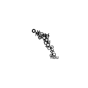 C=C(C)[C@@H]1CC[C@]2(C(=O)N3CCC[C@@H]3c3nc(-c4ccccc4)no3)CC[C@]3(C)[C@H](CC[C@@H]4[C@@]5(C)CC[C@H](OC(=O)C6CC(C(=O)OCCCC)C6(C)C)C(C)(C)C5CC[C@]43C)[C@@H]12